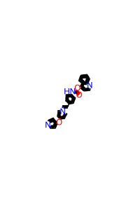 O=C(N[C@H]1CC[C@H](CCN2CCC(Oc3ccncc3)CC2)CC1)Oc1ccnc2ccccc12